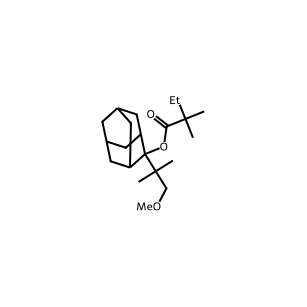 CCC(C)(C)C(=O)OC1(C(C)(C)COC)C2CC3CC(C2)CC1C3